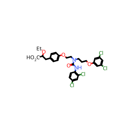 CCOC(Cc1ccc(OCCN(CCCOc2cc(Cl)cc(Cl)c2)C(=O)Nc2ccc(Cl)cc2Cl)cc1)C(=O)O